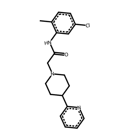 Cc1ccc(Cl)cc1NC(=O)CN1CCC(c2ccccn2)CC1